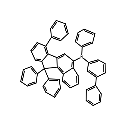 c1ccc(-c2cccc(N(c3ccccc3)c3cc4c(c5ccccc35)C(c3ccccc3)(c3ccccc3)c3cccc(-c5ccccc5)c3-4)c2)cc1